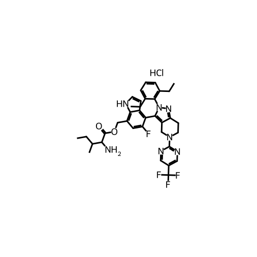 CCc1cccc(CC)c1-n1nc2c(c1-c1c(F)cc(COC(=O)C(N)C(C)CC)c3[nH]ccc13)CN(c1ncc(C(F)(F)F)cn1)CC2.Cl